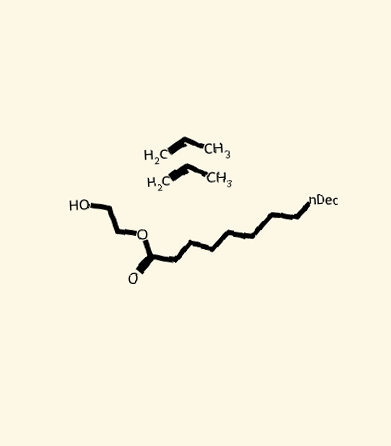 C=CC.C=CC.CCCCCCCCCCCCCCCCCC(=O)OCCO